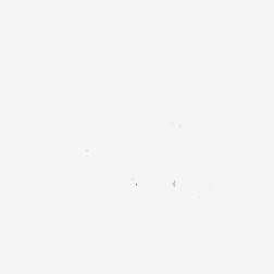 CC(NC(=O)O)C(O)O